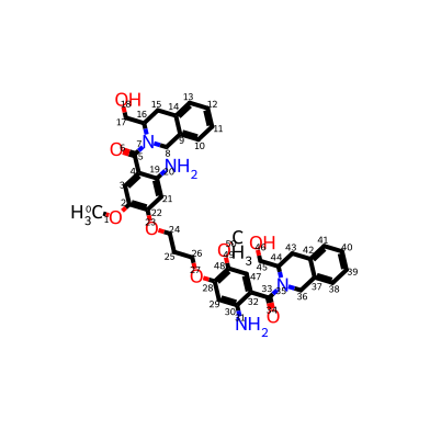 COc1cc(C(=O)N2Cc3ccccc3CC2CO)c(N)cc1OCCCOc1cc(N)c(C(=O)N2Cc3ccccc3CC2CO)cc1OC